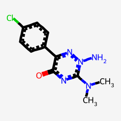 CN(C)c1nc(=O)c(-c2ccc(Cl)cc2)nn1N